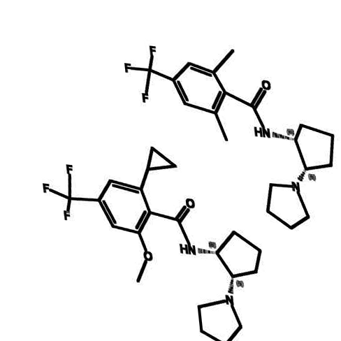 COc1cc(C(F)(F)F)cc(C2CC2)c1C(=O)N[C@@H]1CCC[C@@H]1N1CCCC1.Cc1cc(C(F)(F)F)cc(C)c1C(=O)N[C@@H]1CCC[C@@H]1N1CCCC1